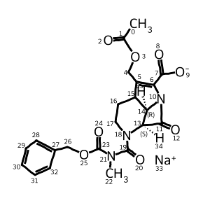 CC(=O)OCC1=C(C(=O)[O-])N2C(=O)[C@@H]3[C@H]2C1CCN3C(=O)N(C)C(=O)OCc1ccccc1.[Na+]